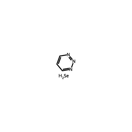 [SeH2].c1cnnnc1